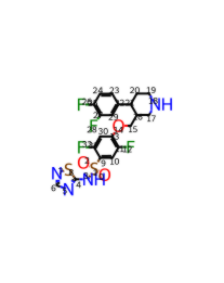 O=S(=O)(Nc1ncns1)c1cc(F)c(OCC2CNCCC2c2ccc(F)c(F)c2)cc1F